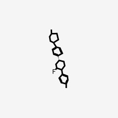 Cc1ccc(C2CC[C@@H](c3ccc(C4CCC(C)CC4)cc3)CC2F)cc1